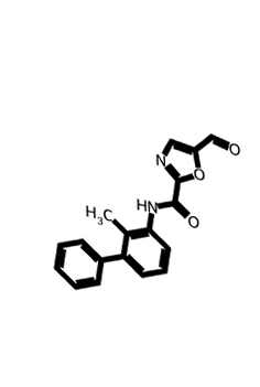 Cc1c(NC(=O)c2ncc(C=O)o2)cccc1-c1ccccc1